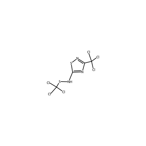 ClC(Cl)(Cl)SNc1nc(C(Cl)(Cl)Cl)ns1